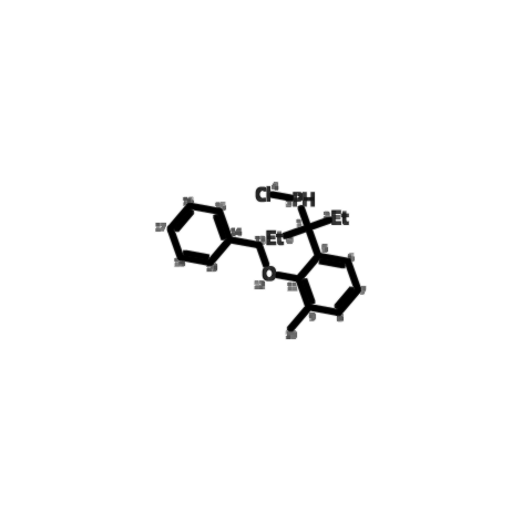 CCC(CC)(PCl)c1cccc(C)c1OCc1ccccc1